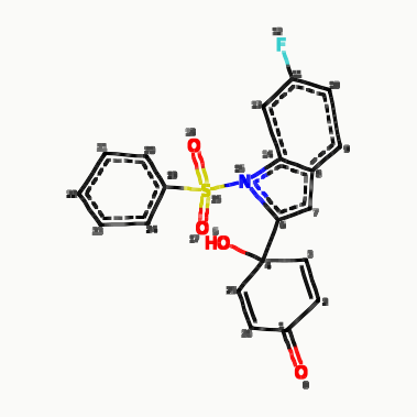 O=C1C=CC(O)(c2cc3ccc(F)cc3n2S(=O)(=O)c2ccccc2)C=C1